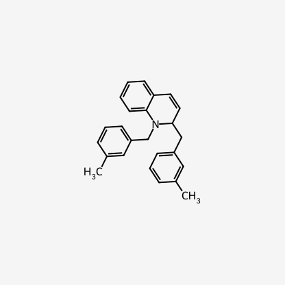 Cc1cccc(CC2C=Cc3ccccc3N2Cc2cccc(C)c2)c1